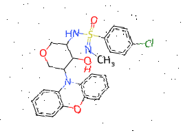 CN=S(=O)(NC1COCC(N2c3ccccc3Oc3ccccc32)C1O)c1ccc(Cl)cc1